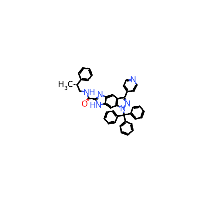 C[C@@H](CNC(=O)c1nc2cc3c(-c4ccncc4)nn(C(c4ccccc4)(c4ccccc4)c4ccccc4)c3cc2[nH]1)c1ccccc1